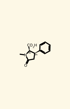 CN1C(=O)C[C@H](c2ccccc2)[C@@H]1C(=O)O